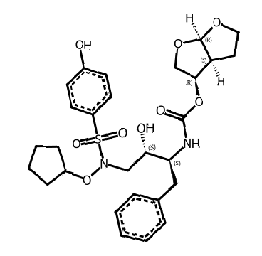 O=C(N[C@@H](Cc1ccccc1)[C@@H](O)CN(OC1CCCC1)S(=O)(=O)c1ccc(O)cc1)O[C@H]1CO[C@H]2OCC[C@H]21